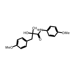 COc1ccc(CC(C)(O)C(=O)Nc2ccc(OC)cc2)cc1